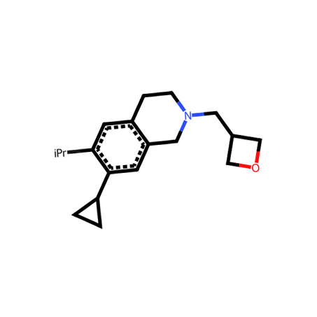 CC(C)c1cc2c(cc1C1CC1)CN(CC1COC1)CC2